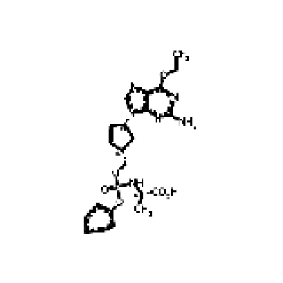 C[C@H](NP(=O)(OC[C@@H]1C=C[C@H](n2cnc3c(OCC(F)(F)F)nc(N)nc32)C1)Oc1ccccc1)C(=O)O